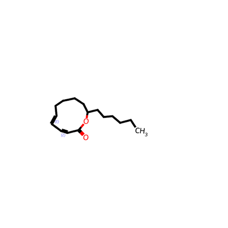 CCCCCCC1CCCC/C=C/C=C\C(=O)O1